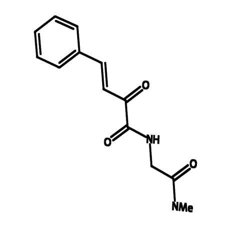 CNC(=O)CNC(=O)C(=O)/C=C/c1ccccc1